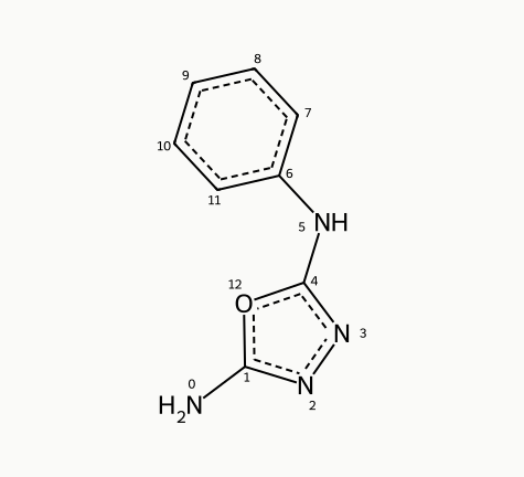 Nc1nnc(Nc2ccccc2)o1